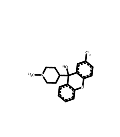 CN1CCC(C2(O)c3ccccc3Oc3ccc(C(F)(F)F)cc32)CC1